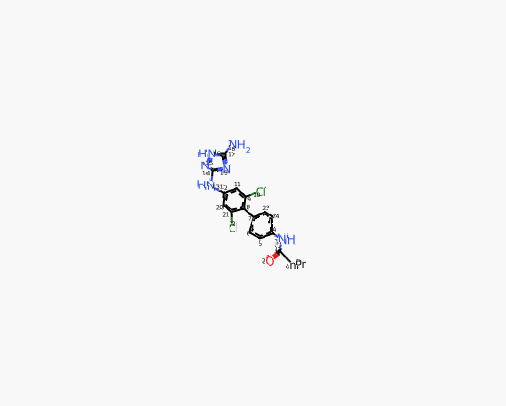 CCCC(=O)Nc1ccc(-c2c(Cl)cc(Nc3n[nH]c(N)n3)cc2Cl)cc1